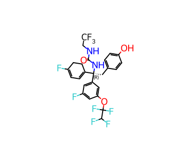 O=C(NCC(F)(F)F)N[C@](Cc1ccc(O)cc1)(C1=CC=C(F)CC1)c1cc(F)cc(OC(F)(F)C(F)F)c1